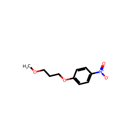 COCCCOc1ccc([N+](=O)[O-])cc1